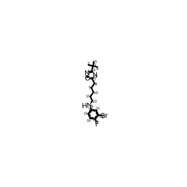 CC(C)(C)c1noc(CCCCCNc2ccc(F)c(Br)c2)n1